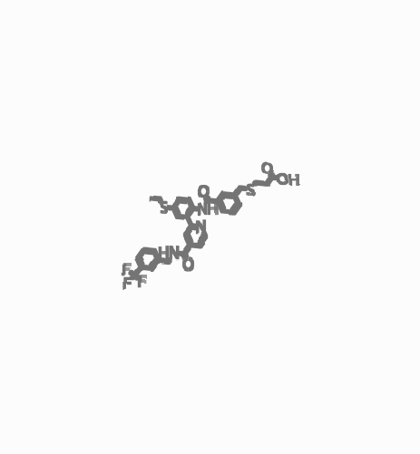 CCSc1ccc(NC(=O)c2cccc(CSCCC(=O)O)c2)c(-c2cc(C(=O)NCc3cccc(C(F)(F)F)c3)ccn2)c1